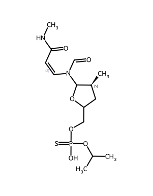 CNC(=O)/C=C\N(C=O)C1OC(COP(O)(=S)OC(C)C)C[C@@H]1C